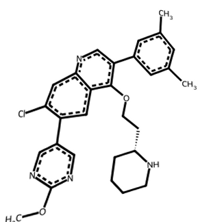 COc1ncc(-c2cc3c(OCC[C@H]4CCCCN4)c(-c4cc(C)cc(C)c4)cnc3cc2Cl)cn1